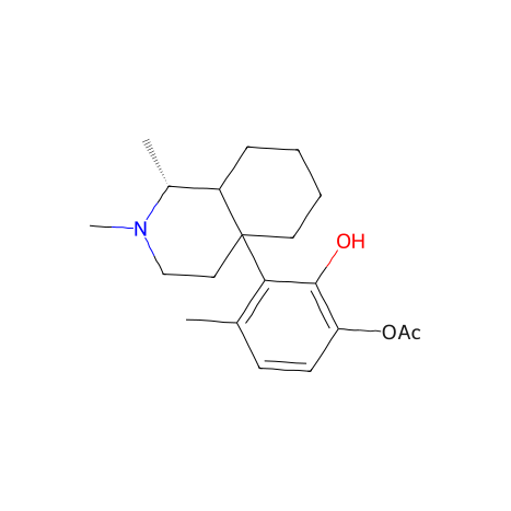 CC(=O)Oc1ccc(C)c(C23CCCCC2[C@@H](C)N(C)CC3)c1O